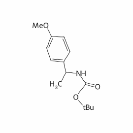 COc1ccc(C(C)NC(=O)OC(C)(C)C)cc1